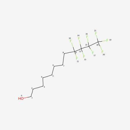 OCCCCCCCCC(F)(F)C(F)(F)C(F)(F)C(F)(F)F